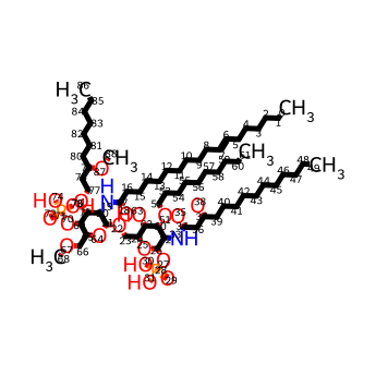 CCCCCCC=CCCCCCCCCCC(=O)NC1C(OCC2OC(OP(=O)(O)O)C(NC(=O)CC(=O)CCCCCCCCCCC)C(OCCCCCCCCCC)C2O)OC(COC)C(OP(=O)(O)O)C1OCCC(CCCCCCC)OC